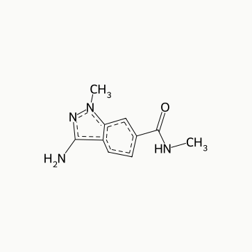 CNC(=O)c1ccc2c(N)nn(C)c2c1